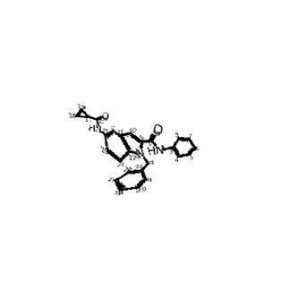 O=C(Nc1ccccc1)c1cc2cc(NC(=O)C3CC3)ccc2n1Cc1ccccc1